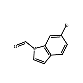 O=Cn1ccc2ccc(Br)cc21